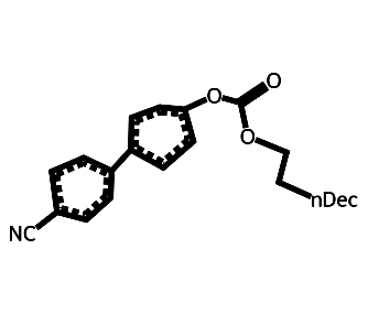 CCCCCCCCCCCCOC(=O)Oc1ccc(-c2ccc(C#N)cc2)cc1